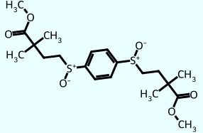 COC(=O)C(C)(C)CC[S+]([O-])c1ccc([S+]([O-])CCC(C)(C)C(=O)OC)cc1